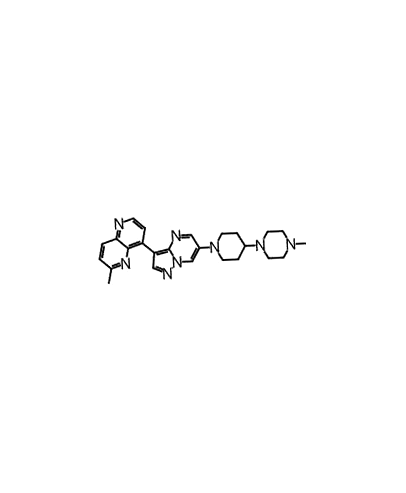 Cc1ccc2nccc(-c3cnn4cc(N5CCC(N6CCN(C)CC6)CC5)cnc34)c2n1